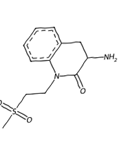 CS(=O)(=O)CCN1C(=O)C(N)Cc2ccccc21